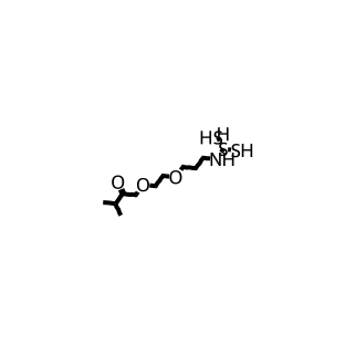 CC(C)C(=O)COCCOCCCN[SH](S)S